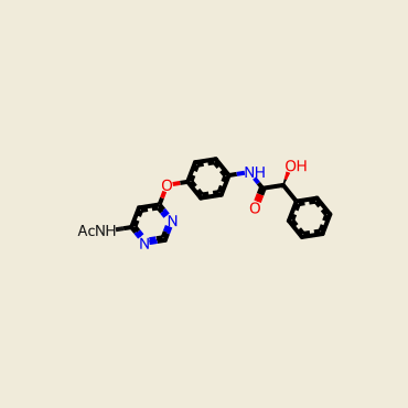 CC(=O)Nc1cc(Oc2ccc(NC(=O)[C@@H](O)c3ccccc3)cc2)ncn1